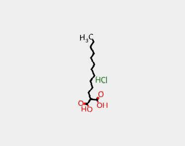 CCCCCCCCCCCC(C(=O)O)C(=O)O.Cl